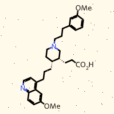 COc1cccc(CCCN2CC[C@@H](CCCc3ccnc4ccc(OC)cc34)[C@@H](CCC(=O)O)C2)c1